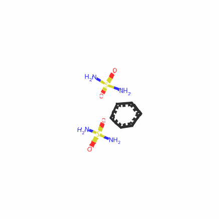 NS(N)(=O)=O.NS(N)(=O)=O.c1ccccc1